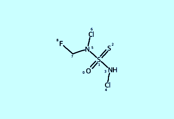 O=S(=S)(NCl)N(Cl)CF